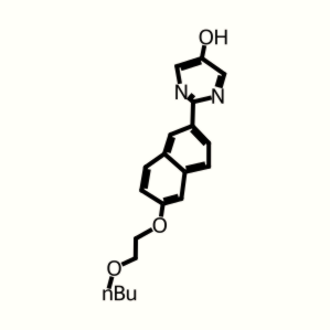 CCCCOCCOc1ccc2cc(-c3ncc(O)cn3)ccc2c1